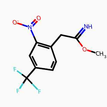 COC(=N)Cc1ccc(C(F)(F)F)cc1[N+](=O)[O-]